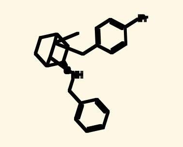 CC(C)c1ccc(CC2(C)C3CCC(C(=O)C3)C2NCc2ccccc2)cc1